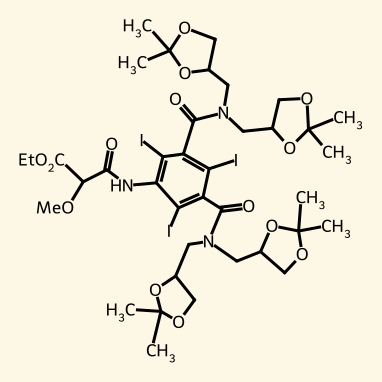 CCOC(=O)C(OC)C(=O)Nc1c(I)c(C(=O)N(CC2COC(C)(C)O2)CC2COC(C)(C)O2)c(I)c(C(=O)N(CC2COC(C)(C)O2)CC2COC(C)(C)O2)c1I